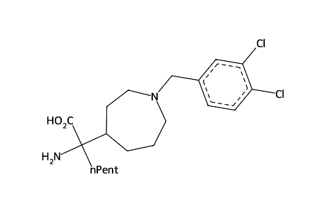 CCCCCC(N)(C(=O)O)C1CCCN(Cc2ccc(Cl)c(Cl)c2)CC1